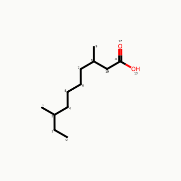 CCC(C)CCCCC(C)CC(=O)O